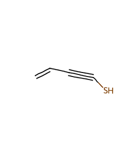 C=CC#CS